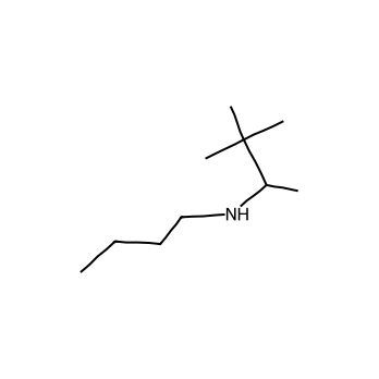 CCCCNC(C)C(C)(C)C